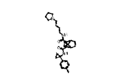 Cc1ccc(C2(NC(=O)C3C(C(=O)NCCCCN4CCCC4)C4CCC3C43CC3)CC2)cc1